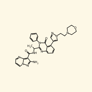 CC(NC(=O)c1c(N)nn2cccnc12)c1nc2cccc(-c3cnn(CCN4CCOCC4)c3)c2c(=O)n1-c1ccccc1